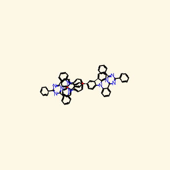 c1ccc(-c2nc(-c3ccccc3)nc(-c3ccccc3-n3c4ccccc4c4cc(-c5ccc6c(c5)c5ccccc5n6-c5ccccc5-c5nc(-c6ccccc6)nc(-c6ccccc6-n6c7ccccc7c7ccccc76)n5)ccc43)n2)cc1